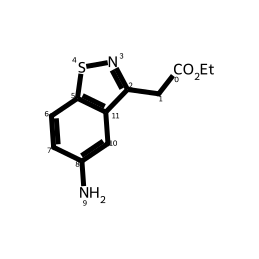 CCOC(=O)Cc1nsc2ccc(N)cc12